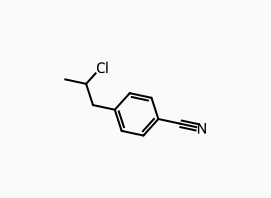 CC(Cl)Cc1ccc(C#N)cc1